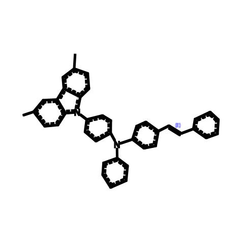 Cc1ccc2c(c1)c1cc(C)ccc1n2-c1ccc(N(c2ccccc2)c2ccc(/C=C/c3ccccc3)cc2)cc1